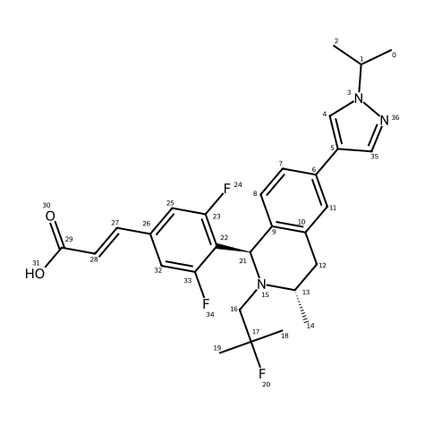 CC(C)n1cc(-c2ccc3c(c2)C[C@H](C)N(CC(C)(C)F)[C@H]3c2c(F)cc(/C=C/C(=O)O)cc2F)cn1